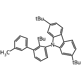 Cc1cccc(-c2cccc(-n3c4cc(C(C)(C)C)ccc4c4ccc(C(C)(C)C)cc43)c2C(C)(C)C)c1